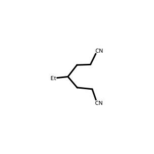 CCC(CCC#N)CCC#N